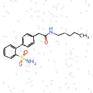 CCCCCNC(=O)Cc1ccc(-c2ccccc2S(N)(=O)=O)cc1